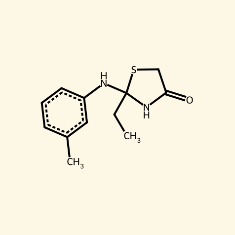 CCC1(Nc2cccc(C)c2)NC(=O)CS1